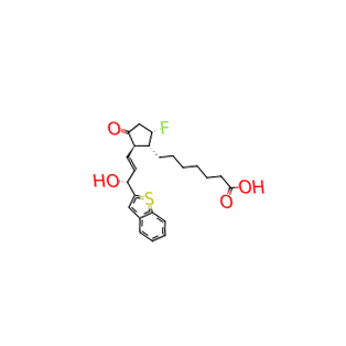 O=C(O)CCCCCC[C@H]1[C@@H](F)CC(=O)[C@@H]1C=C[C@@H](O)c1cc2ccccc2s1